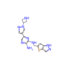 Nc1ncc(-c2cnn(C3CNC3)c2)nc1NCc1cc2[nH]ncc2s1